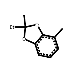 CCC1(C)Oc2cccc(C)c2O1